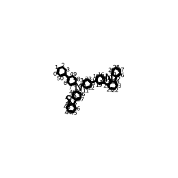 C1=CCCC(C2=CC=C(N(c3ccc(-c4ccc5c(c4)c4cccc6c7ccccc7n5c64)cc3)c3ccc4c(c3)sc3ccccc34)CC2)=C1